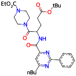 CCCCc1cc(C(=O)NC(CCC(=O)OC(C)(C)C)C(=O)N2CCN(C(=O)OCC)CC2)nc(-c2ccccc2)n1